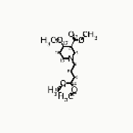 COC(=O)[C@H]1CN(CCCC(OC)OC)CC[C@H]1OC